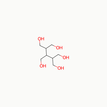 OCC(CO)C(CO)C(CO)CO